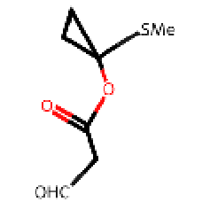 CSC1(OC(=O)CC=O)CC1